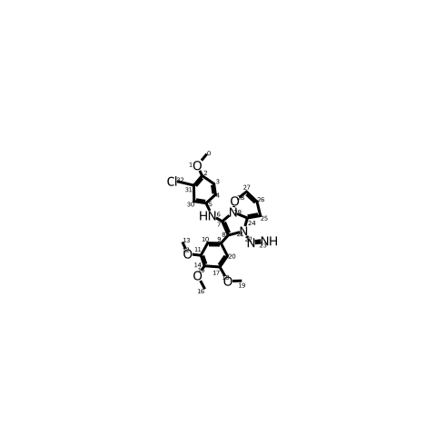 COc1ccc(NC2=C(c3cc(OC)c(OC)c(OC)c3)N(N=N)C3=CC=CON32)cc1Cl